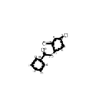 O=C(Sc1ccc(Cl)cc1Cl)c1ccccc1